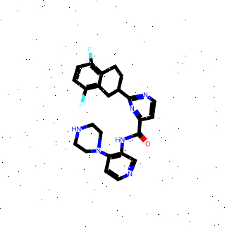 O=C(Nc1cnccc1N1CCNCC1)c1ccnc(C2CCc3c(F)ccc(F)c3C2)n1